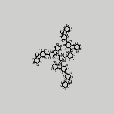 c1cc(-c2nc(-n3c4ccccc4c4cc(-c5ccc6oc7ccccc7c6c5)ccc43)cc(-n3c4ccccc4c4cc(-c5ccc6oc7ccccc7c6c5)ccc43)n2)cc(-n2c3ccccc3c3cc(-c4ccc5oc6ccccc6c5c4)ccc32)c1